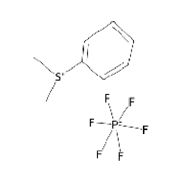 C[S+](C)c1ccccc1.F[P-](F)(F)(F)(F)F